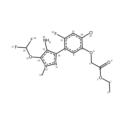 CCOC(=O)COc1cc(-c2nn(C)c(OC(F)F)c2N)c(F)cc1Cl